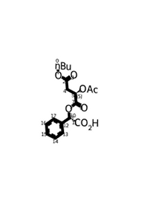 CCCCOC(=O)C[C@H](OC(C)=O)C(=O)O[C@H](C(=O)O)c1ccccc1